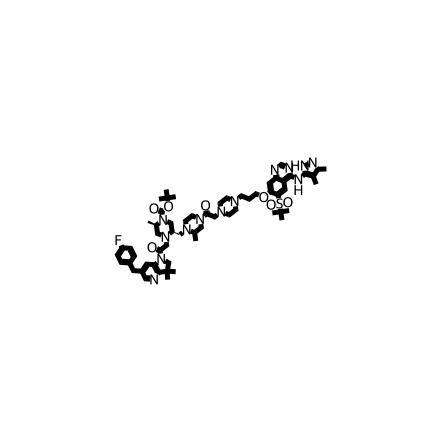 Cc1n[nH]c(Nc2ncnc3cc(OCCCN4CCN(CC(=O)N5CCN(C[C@H]6CN(C(=O)OC(C)(C)C)[C@H](C)CN6CC(=O)N6CC(C)(C)c7ncc(Cc8ccc(F)cc8)cc76)C(C)C5)CC4)c(S(=O)(=O)C(C)(C)C)cc23)c1C